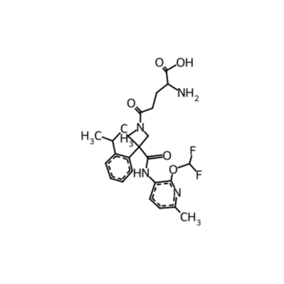 Cc1ccc(NC(=O)C2(c3ccccc3C(C)C)CN(C(=O)CCC(N)C(=O)O)C2)c(OC(F)F)n1